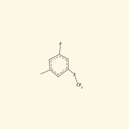 Cc1cc(F)cc(SC(F)(F)F)c1